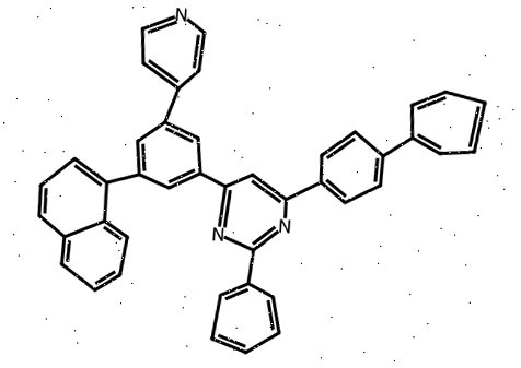 c1ccc(-c2ccc(-c3cc(-c4cc(-c5ccncc5)cc(-c5cccc6ccccc56)c4)nc(-c4ccccc4)n3)cc2)cc1